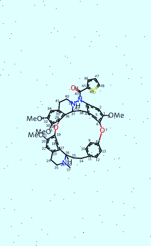 COc1cc2c3cc1Oc1ccc(cc1)CC[C@H]1c4cc(c(OC)cc4CCN1C)Oc1c(OC)c(OC)cc4c1[C@H](C3)N(CC4)N2C(=O)c1cccs1